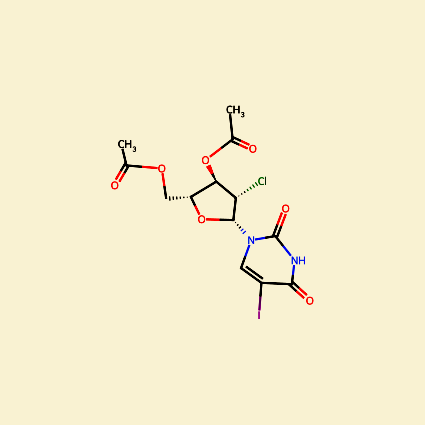 CC(=O)OC[C@H]1O[C@@H](n2cc(I)c(=O)[nH]c2=O)[C@@H](Cl)[C@@H]1OC(C)=O